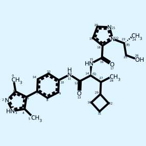 Cc1n[nH]c(C)c1-c1ccc(NC(=O)[C@@H](NC(=O)c2ccnn2[C@H](C)CO)C(C)C2CCC2)cc1